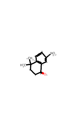 CC1(C)CCC(=O)c2cc([N+](=O)[O-])ccc21